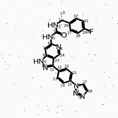 C[C@@H](NC(=O)Nc1cc2[nH]nc(-c3ccc(-n4ccnn4)cc3)c2cn1)c1ccc(F)cc1